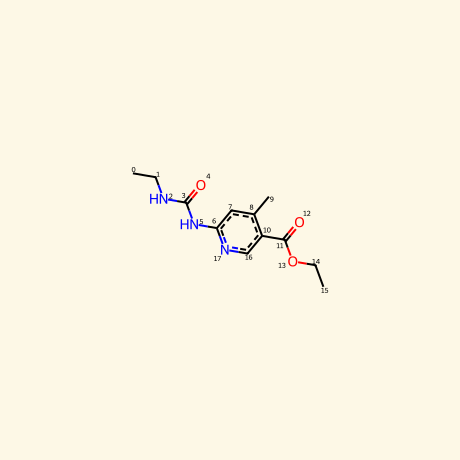 CCNC(=O)Nc1cc(C)c(C(=O)OCC)cn1